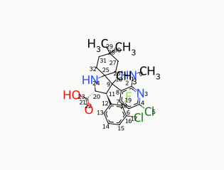 CNc1nc(Cl)ccc1C1(C)[C@@H](c2cccc(Cl)c2F)[C@H](C(=O)O)NC12CCC(C)(C)CC2